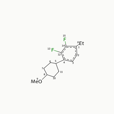 CCc1ccc(C2CCC(OC)CC2)c(F)c1F